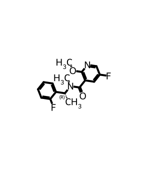 COc1ncc(F)cc1C(=O)N(C)[C@H](C)c1ccccc1F